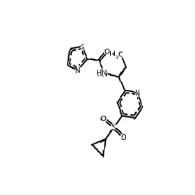 CCC(NC(=O)c1nccs1)c1cc(S(=O)(=O)C2CC2)ccn1